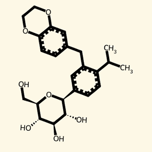 CC(C)c1ccc([C@@H]2O[C@H](CO)[C@@H](O)[C@H](O)[C@H]2O)cc1Cc1ccc2c(c1)OCCO2